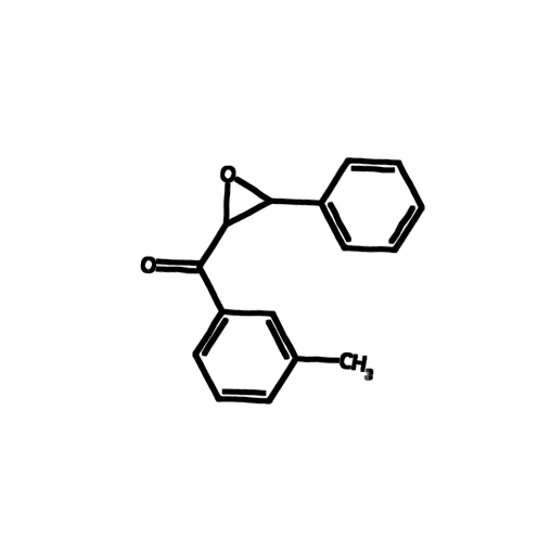 Cc1cccc(C(=O)C2OC2c2ccccc2)c1